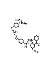 COc1ccc(C(C)CNCCOc2ccc(NC(=O)c3cc(SC)cc4c(=O)c5ccccc5[nH]c34)cc2)cc1OC